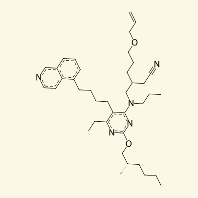 C=CCOCCCC(CC#N)CN(CCC)c1nc(OC[C@@H](C)CCCC)nc(CC)c1CCCCc1cccc2cnccc12